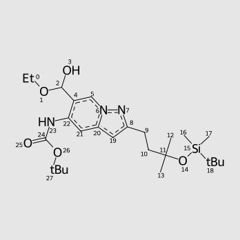 CCOC(O)c1cn2nc(CCC(C)(C)O[Si](C)(C)C(C)(C)C)cc2cc1NC(=O)OC(C)(C)C